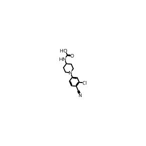 N#Cc1ccc(N2CCC(NC(=O)O)CC2)cc1Cl